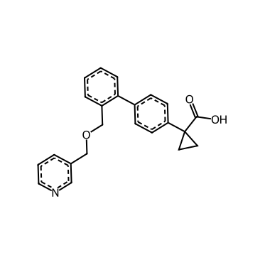 O=C(O)C1(c2ccc(-c3ccccc3COCc3cccnc3)cc2)CC1